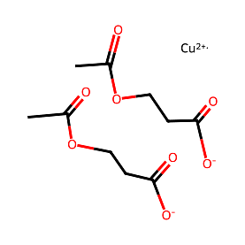 CC(=O)OCCC(=O)[O-].CC(=O)OCCC(=O)[O-].[Cu+2]